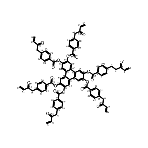 C=CC(=O)CCc1ccc(C(=O)Oc2cc3c(cc2OC(=O)c2ccc(CC(=O)C=C)cc2)c2cc(OC(=O)c4ccc(CC(=O)C=C)cc4)c(OC(=O)c4ccc(CC(=O)C=C)cc4)cc2c2cc(OC(=O)c4ccc(CC(=O)C=C)cc4)c(OC(=O)c4ccc(CC(=O)C=C)cc4)cc32)cc1